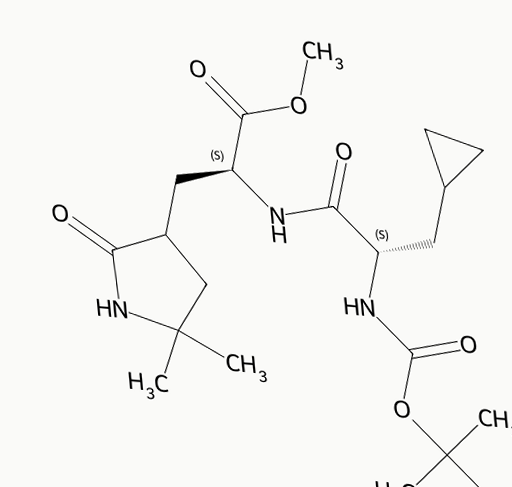 COC(=O)[C@H](CC1CC(C)(C)NC1=O)NC(=O)[C@H](CC1CC1)NC(=O)OC(C)(C)C